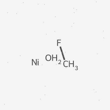 CF.O.[Ni]